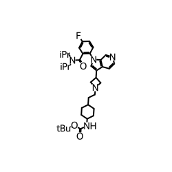 CC(C)N(C(=O)c1cc(F)ccc1-n1cc(C2CN(CCC3CCC(NC(=O)OC(C)(C)C)CC3)C2)c2ccncc21)C(C)C